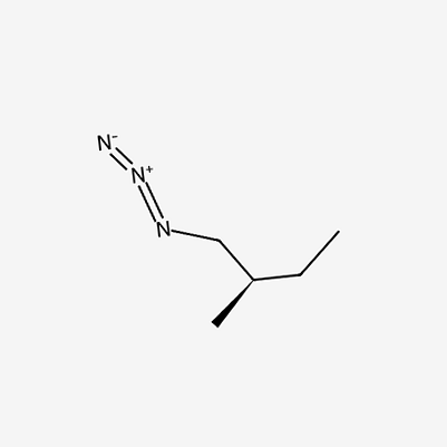 CC[C@@H](C)CN=[N+]=[N-]